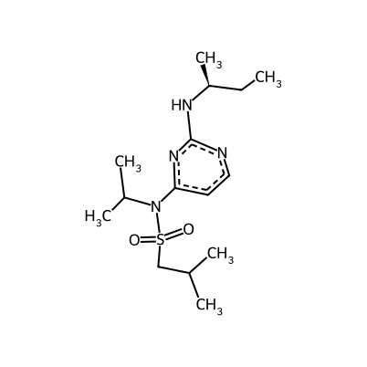 CC[C@H](C)Nc1nccc(N(C(C)C)S(=O)(=O)CC(C)C)n1